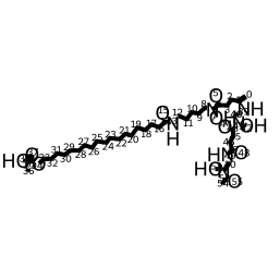 C=C(CCC(=O)N(O)CCCCCNC(=O)CCCCCCCCCCCCCCCCCCOP(C)(=O)O)NCN(O)C(=O)CCC(=O)NCN(O)C(C)=O